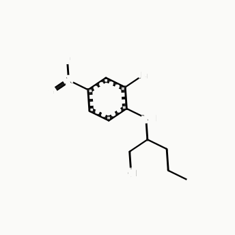 CCCC(CO)Nc1ccc([N+](=O)[O-])cc1Br